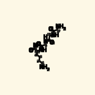 NCCCC[C@H](NC(=O)CNC(=O)CNC(=O)CN)C(N)=O